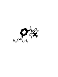 CN(C)c1cccc(NS(=O)(=O)C(F)(F)F)c1